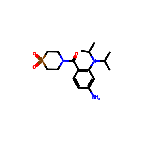 CC(C)N(c1cc(N)ccc1C(=O)N1CCS(=O)(=O)CC1)C(C)C